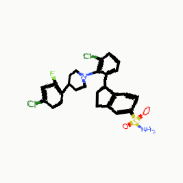 NS(=O)(=O)c1ccc2c(c1)CCC2c1cccc(Cl)c1N1CCC(c2ccc(Cl)cc2F)CC1